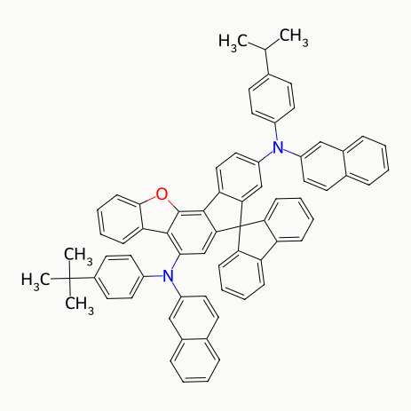 CC(C)c1ccc(N(c2ccc3c(c2)C2(c4ccccc4-c4ccccc42)c2cc(N(c4ccc(C(C)(C)C)cc4)c4ccc5ccccc5c4)c4c(oc5ccccc54)c2-3)c2ccc3ccccc3c2)cc1